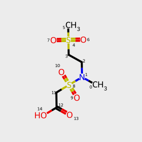 CN(CCS(C)(=O)=O)S(=O)(=O)CC(=O)O